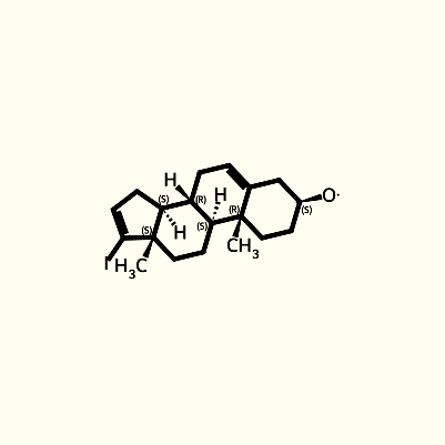 C[C@]12CC[C@H]([O])CC1=CC[C@@H]1[C@@H]2CC[C@]2(C)C(I)=CC[C@@H]12